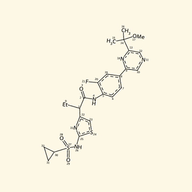 CCC(C(=O)Nc1ccc(-c2cncc(C(C)(C)OC)n2)cc1F)c1csc(NS(=O)(=O)C2CC2)n1